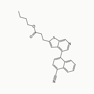 CCCCOC(=O)CCc1cc2c(-c3ccc(C#N)c4ccccc34)cncc2s1